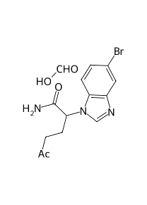 CC(=O)CCC(C(N)=O)n1cnc2cc(Br)ccc21.O=CO